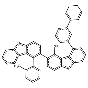 Cc1ccccc1-c1c(-c2ccc3oc4cccc(-c5cccc(C6=CCCC=C6)c5)c4c3c2N)ccc2oc3ccccc3c12